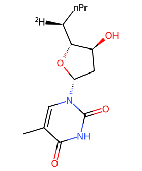 [2H][C@@H](CCC)[C@H]1O[C@@H](n2cc(C)c(=O)[nH]c2=O)C[C@@H]1O